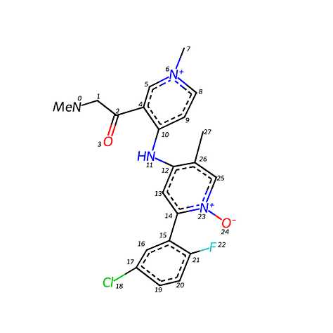 CNCC(=O)c1c[n+](C)ccc1Nc1cc(-c2cc(Cl)ccc2F)[n+]([O-])cc1C